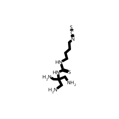 NCC(CN)(CN)NC(=S)NCCCCN=C=S